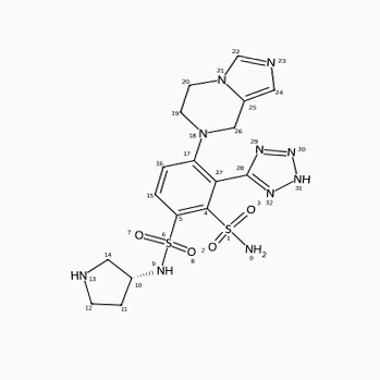 NS(=O)(=O)c1c(S(=O)(=O)N[C@@H]2CCNC2)ccc(N2CCn3cncc3C2)c1-c1nn[nH]n1